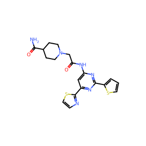 NC(=O)C1CCN(CC(=O)Nc2cc(-c3nccs3)nc(-c3cccs3)n2)CC1